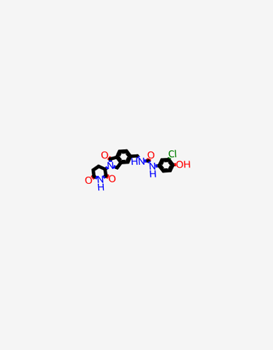 O=C1CCC(N2Cc3cc(CNC(=O)Nc4ccc(O)c(Cl)c4)ccc3C2=O)C(=O)N1